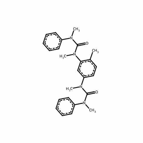 Cc1ccc(N(C)C(=O)N(C)c2ccccc2)cc1N(C)C(=O)N(C)c1ccccc1